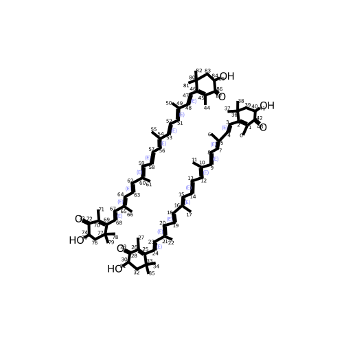 CC1=C(/C=C/C(C)=C/C=C/C(C)=C/C=C/C=C(C)/C=C/C=C(C)/C=C/C2=C(C)C(=O)C(O)CC2(C)C)C(C)(C)CC(O)C1=O.CC1=C(/C=C/C(C)=C/C=C/C(C)=C/C=C/C=C(C)/C=C/C=C(C)/C=C/C2=C(C)C(=O)C(O)CC2(C)C)C(C)(C)CC(O)C1=O